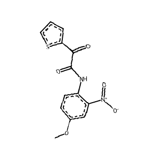 COc1ccc(NC(=O)C(=O)c2cccs2)c([N+](=O)[O-])c1